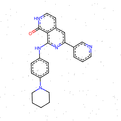 O=c1[nH]ccc2cc(-c3cccnc3)nc(Nc3ccc(N4CCCCC4)cc3)c12